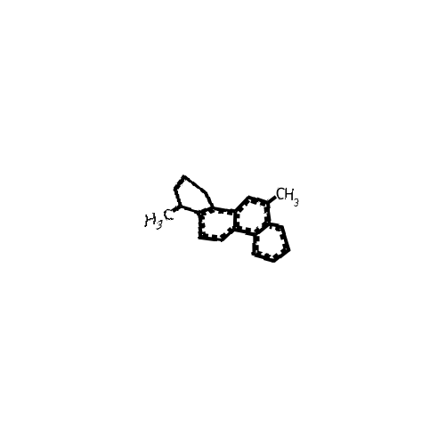 Cc1cc2c3c(ccc2c2ccccc12)C(C)CCC3